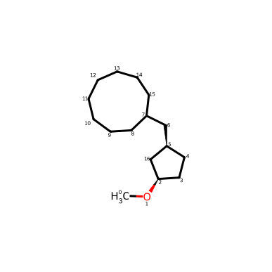 CO[C@@H]1CC[C@H](CC2CCCCCCCC2)C1